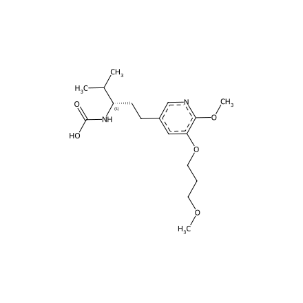 COCCCOc1cc(CC[C@H](NC(=O)O)C(C)C)cnc1OC